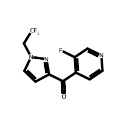 O=C(c1ccn(CC(F)(F)F)n1)c1ccncc1F